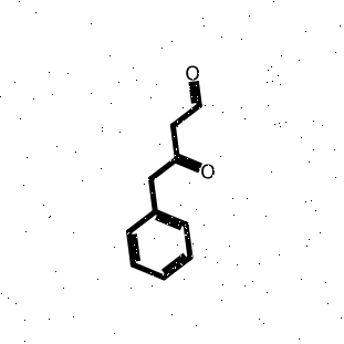 O=CCC(=O)Cc1ccccc1